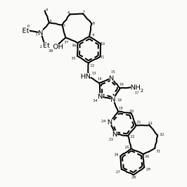 CCN(CC)C(C)C1CCCc2ccc(Nc3nc(N)n(-c4cc5c(nn4)-c4ccccc4CCC5)n3)cc2C1O